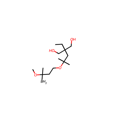 BC(C)(CCOC(C)(C)CC(CC)(CO)CO)OC